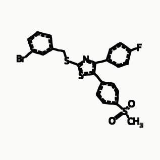 CS(=O)(=O)c1ccc(-c2sc(SCc3cccc(Br)c3)nc2-c2ccc(F)cc2)cc1